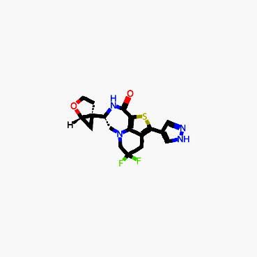 O=C1N[C@@H]([C@]23CCO[C@H]2C3)CN2CC(F)(F)Cc3c(-c4cn[nH]c4)sc1c32